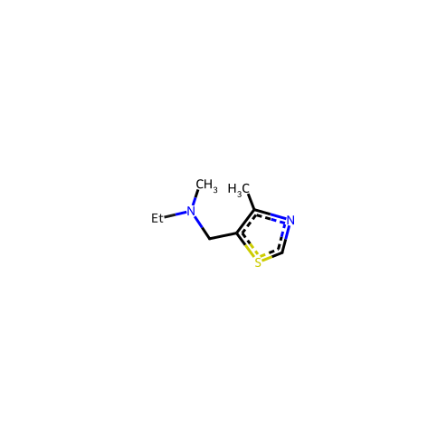 CCN(C)Cc1scnc1C